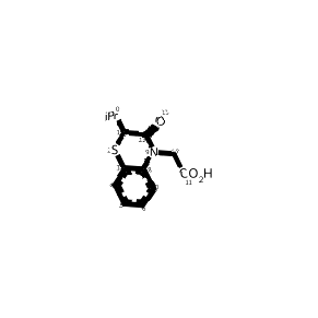 CC(C)C1Sc2ccccc2N(CC(=O)O)C1=O